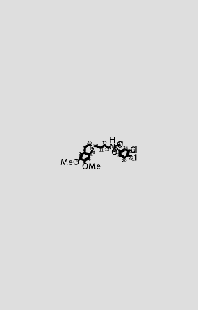 COc1cc2c(cc1OC)CN(CCCCNS(=O)(=O)c1ccc(Cl)c(Cl)c1)CC2